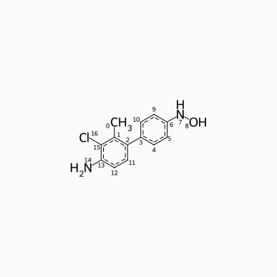 Cc1c(-c2ccc(NO)cc2)ccc(N)c1Cl